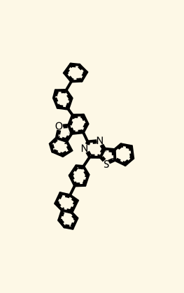 c1ccc(-c2cccc(-c3ccc(-c4nc(-c5ccc(-c6ccc7ccccc7c6)cc5)c5sc6ccccc6c5n4)c4c3oc3ccccc34)c2)cc1